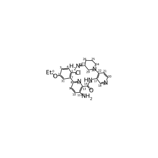 CCOc1ccc(Cl)c(-c2ccc(N)c(C(=O)Nc3cnccc3N3CCC[C@H](N)C3)n2)c1